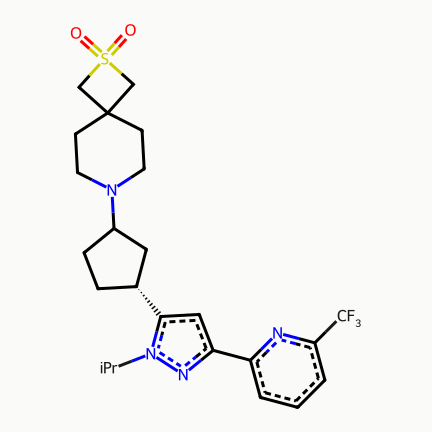 CC(C)n1nc(-c2cccc(C(F)(F)F)n2)cc1[C@@H]1CCC(N2CCC3(CC2)CS(=O)(=O)C3)C1